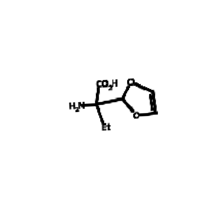 CCC(N)(C(=O)O)C1OC=CO1